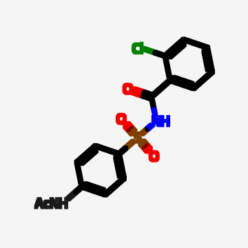 CC(=O)Nc1ccc(S(=O)(=O)NC(=O)c2ccccc2Cl)cc1